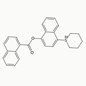 O=C(Oc1ccc([SH]2CCCCC2)c2ccccc12)c1cccc2ccccc12